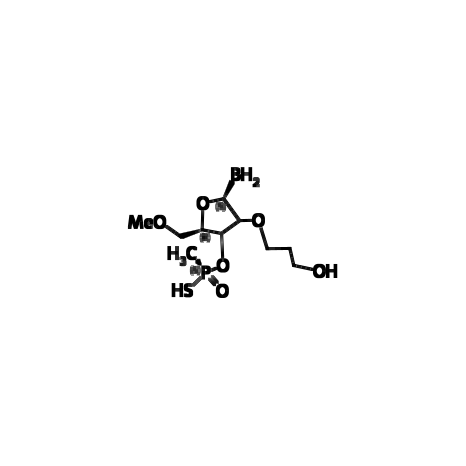 B[C@@H]1O[C@H](COC)C(O[P@](C)(=O)S)C1OCCCO